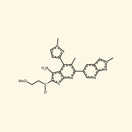 COCC[S+]([O-])c1sc2nc(-c3cnc4nn(C)cc4c3)c(C)c(-c3ccn(C)n3)c2c1N